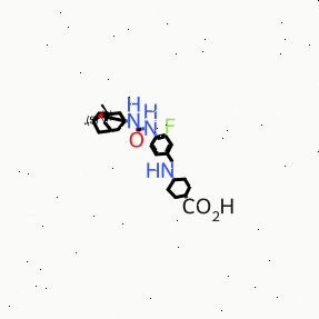 C[C@]12CC3CC(NC(=O)Nc4ccc(CNC5CCC(C(=O)O)CC5)cc4F)(C1)C[C@@](C)(C3)C2